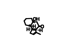 CC1=CC[C@@H]2[C@H]1C(=O)C[C@@]1(O)CCCC[C@@H]21